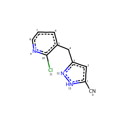 N#Cc1cc(Cc2cccnc2Cl)n[nH]1